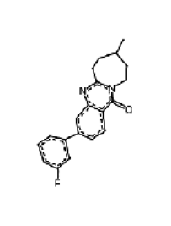 CC1CCc2nc3cc(-c4cccc(F)c4)ccc3c(=O)n2CC1